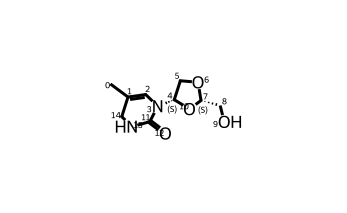 CC1=CN([C@@H]2CO[C@H](CO)O2)C(=O)NC1